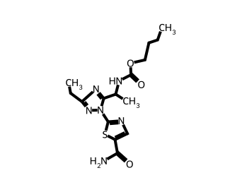 CCCCOC(=O)NC(C)c1nc(CC)nn1-c1ncc(C(N)=O)s1